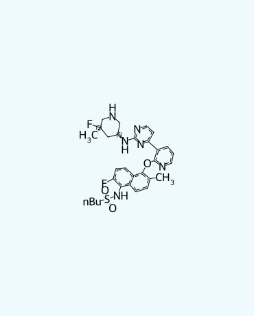 CCCCS(=O)(=O)Nc1c(F)ccc2c(Oc3ncccc3-c3ccnc(N[C@@H]4CNC[C@@](C)(F)C4)n3)c(C)ccc12